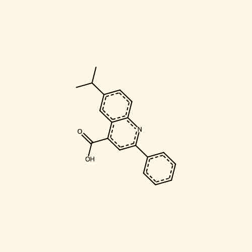 CC(C)c1ccc2nc(-c3ccccc3)cc(C(=O)O)c2c1